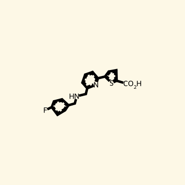 O=C(O)c1ccc(-c2cccc(CNCc3ccc(F)cc3)n2)s1